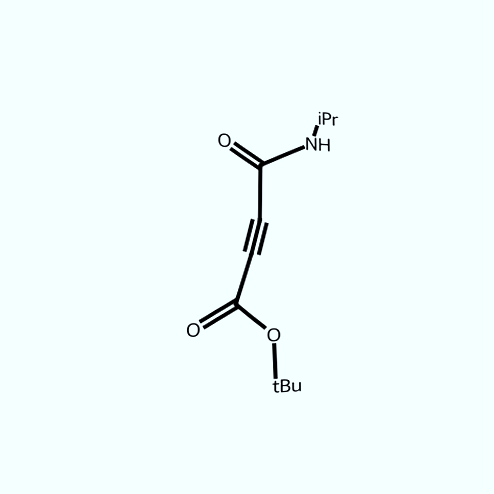 CC(C)NC(=O)C#CC(=O)OC(C)(C)C